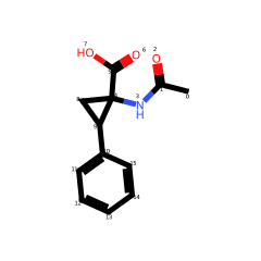 CC(=O)NC1(C(=O)O)CC1c1ccccc1